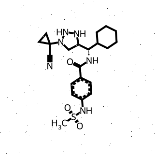 CS(=O)(=O)Nc1ccc(C(=O)N[C@@H](C2CCCCC2)C2CN(C3(C#N)CC3)NN2)cc1